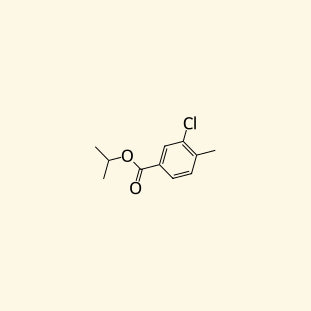 Cc1ccc(C(=O)OC(C)C)cc1Cl